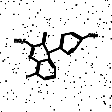 CCOC(=O)c1nc2c(F)cccc2n(-c2ccc(OC)cc2)c1=O